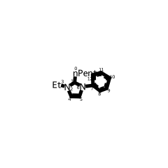 CCCCCC1N(CC)C=CN1c1ccccc1